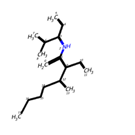 C=C(NC(CC)C(C)C)C(CC)C(C)CCCC